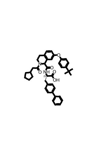 CC(C)(C)c1ccc(Oc2ccc3c(c2)C(C(=O)N[C@@H](Cc2ccc(-c4ccccc4)cc2)C(=O)O)N(C(=O)CC2CCCC2)CC3)cc1